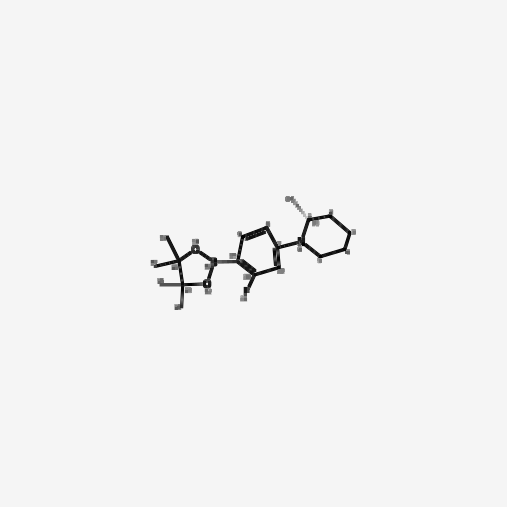 C[C@@H]1CCCCN1c1ccc(B2OC(C)(C)C(C)(C)O2)c(F)c1